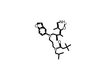 C=C(CN(CCCN(CC(C)C)C(=O)CC(C)(C)C)c1ccc2occc2c1)/C(C)=C(OC)\C(C)=C/N